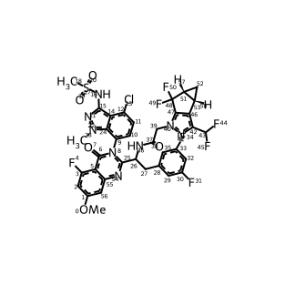 COc1cc(F)c2c(=O)n(-c3ccc(Cl)c4c(NS(C)(=O)=O)nn(C)c34)c(C(Cc3cc(F)cc(F)c3)NC(=O)Cn3nc(C(F)F)c4c3C(F)(F)[C@@H]3C[C@H]43)nc2c1